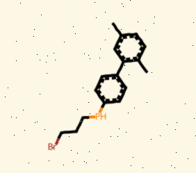 Cc1ccc(C)c(-c2ccc(PCCCBr)cc2)c1